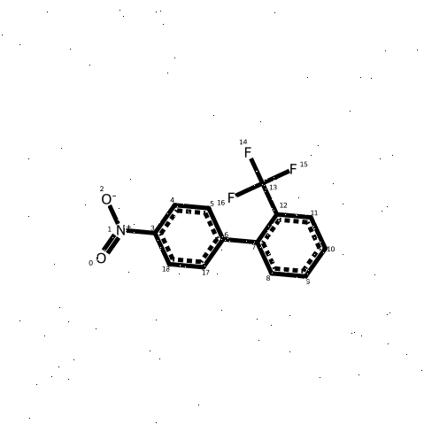 O=[N+]([O-])c1ccc(-c2ccccc2C(F)(F)F)cc1